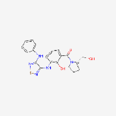 O=C(c1cccc(Nc2nsnc2Nc2ccccc2)c1O)N1CCC[C@H]1CO